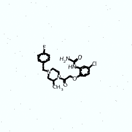 CC1CN(Cc2ccc(F)cc2)CCN1C(=O)COc1ccc(Cl)cc1NC(N)=O